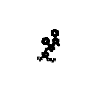 Cc1nc(-c2ccccc2)sc1-c1nnc(Sc2nc(C(F)(F)F)c(C(=O)O)s2)n1-c1ccccc1